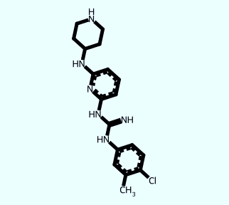 Cc1cc(NC(=N)Nc2cccc(NC3CCNCC3)n2)ccc1Cl